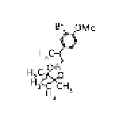 COc1ccc(C(C)CB2OC(C)(C)C(C)(C)O2)cc1Br